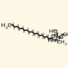 CCCCCCCCCCCCCCCCCC(=O)NC(C)N(OCO)OCO